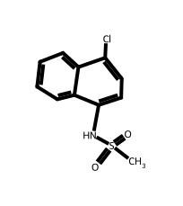 CS(=O)(=O)Nc1ccc(Cl)c2ccccc12